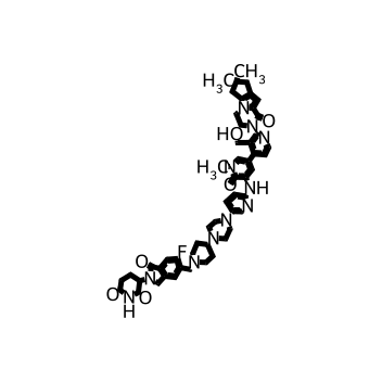 Cn1cc(-c2ccnc(N3CCn4c(cc5c4CC(C)(C)C5)C3=O)c2CO)cc(Nc2ccc(N3CCN(C4CCN(Cc5cc6c(cc5F)C(=O)N(C5CCC(=O)NC5=O)C6)CC4)CC3)cn2)c1=O